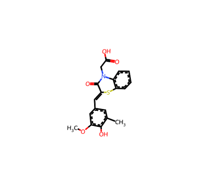 COc1cc(/C=C2\Sc3ccccc3N(CC(=O)O)C2=O)cc(C)c1O